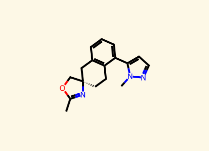 CC1=N[C@@]2(CCc3c(cccc3-c3ccnn3C)C2)CO1